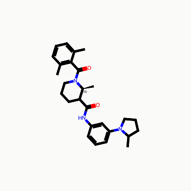 Cc1cccc(C)c1C(=O)N1CCCC(C(=O)Nc2cccc(N3CCCC3C)c2)[C@@H]1C